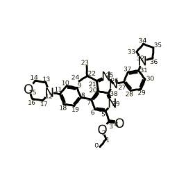 CCOC(=O)c1cc(-c2ccc(N3CCOCC3)cc2)c2c(C(C)C)nn(-c3cccc(N4CCCC4)c3)c2n1